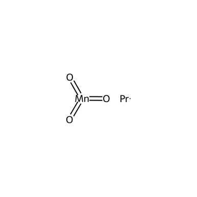 [O]=[Mn](=[O])=[O].[Pr]